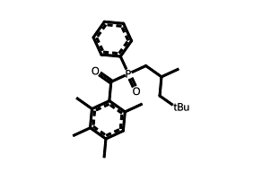 Cc1cc(C)c(C(=O)P(=O)(CC(C)CC(C)(C)C)c2ccccc2)c(C)c1C